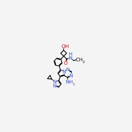 CCNC(=O)C1(c2cccc(-c3cc(-c4ccnn4C4CC4)c4c(N)ncnn34)c2)CC(O)C1